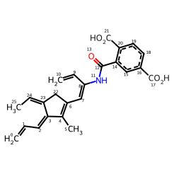 C=C/C=C1C(C)=C(/C=C(\C=C)NC(=O)c2cc(C(=O)O)ccc2C(=O)O)CC/1=C/C